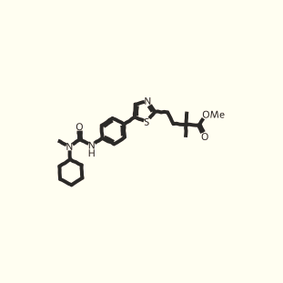 COC(=O)C(C)(C)CCc1ncc(-c2ccc(NC(=O)N(C)C3CCCCC3)cc2)s1